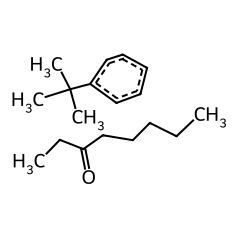 CC(C)(C)c1ccccc1.CCCCCC(=O)CC